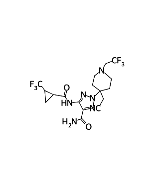 N#CCC1(n2cc(C(N)=O)c(NC(=O)C3CC3C(F)(F)F)n2)CCN(CC(F)(F)F)CC1